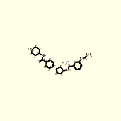 CCOc1cccc([C@@H](C)NC2CC[C@H](c3ccc(C(=O)NC4CCNCC4)cc3)C2)c1